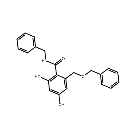 O=C(NCc1ccccc1)c1c(O)cc(O)cc1COCc1ccccc1